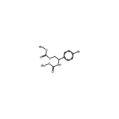 CC(C)(C)OC(=O)NC(COC(=O)OC(C)(C)C)c1ccc(Br)cc1